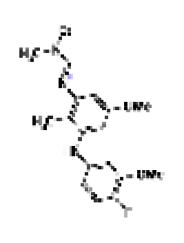 CCN(C)/C=N/c1cc(OC)cc(Nc2ccc(F)c(OC)c2)c1C